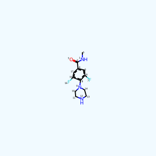 CNC(=O)c1cc(F)c(N2CCNCC2)c(F)c1